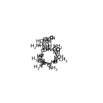 CC(C)C[C@@H]1NC(=O)[C@@H](Cc2ccccc2)NC(=O)[C@H](CCN)NC(=O)[C@@H](NC(=O)[C@H](CCN)NC(=O)[C@@H](NC(=O)Cc2cccnc2)C(C)O)CCNC(=O)[C@H](C(C)O)NC(=O)[C@H](CCN)NC(=O)[C@H](CCN)NC1=O